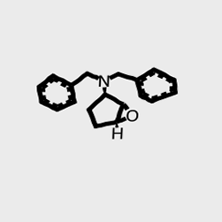 c1ccc(CN(Cc2ccccc2)[C@@H]2CC[C@@H]3OC32)cc1